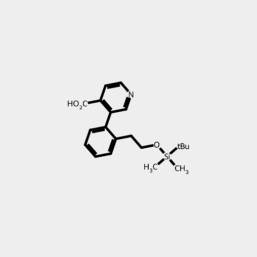 CC(C)(C)[Si](C)(C)OCCc1ccccc1-c1cnccc1C(=O)O